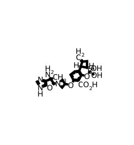 C=C1C[C@@H]2[C@H]1c1ccc(OC3CN(C(=O)C(C)(N)c4c[nH]cn4)C3)c(C(=O)O)c1O[B-]2(O)O